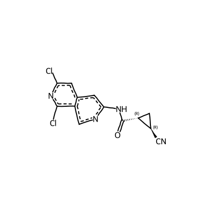 N#C[C@@H]1C[C@H]1C(=O)Nc1cc2cc(Cl)nc(Cl)c2cn1